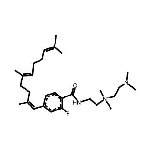 CC(C)=CCCC=C(C)CCC(C)=Cc1ccc(C(=O)NCC[N+](C)(C)CCN(C)C)c(F)c1